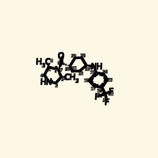 C[C@@H]1CNC[C@H](C)N1C(=O)[C@H]1CC[C@H](Nc2ccc(C(F)(F)F)cc2)CC1